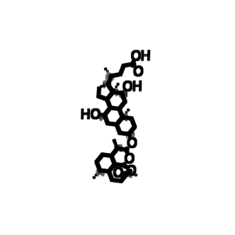 C[C@H]1C(O[C@@H]2CC[C@@]3(C)C(C2)C[C@@H](O)C2C3C[C@H](O)[C@@]3(C)C2CC[C@@H]3[C@H](C)CCC(=O)O)OC2O[C@@]3(C)CCC4[C@H](C)CCC1C24O3